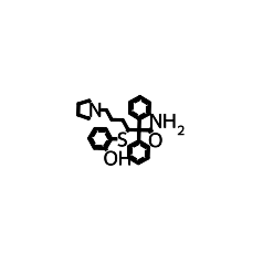 NC(=O)C(c1ccccc1)(c1ccccc1)C(CCCN1CCCC1)Sc1ccccc1O